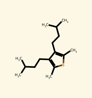 Cc1sc(C)c(CCC(C)C)c1CCC(C)C